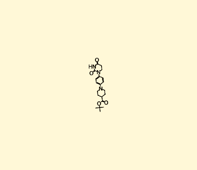 CC(C)(C)OC(=O)C1CCN(c2ccc(N3CCC(=O)NC3=O)cc2)CC1